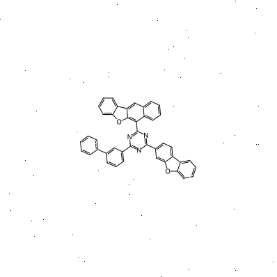 c1ccc(-c2cccc(-c3nc(-c4ccc5c(c4)oc4ccccc45)nc(-c4c5ccccc5cc5c4oc4ccccc45)n3)c2)cc1